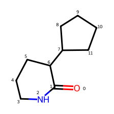 O=C1NCCCC1C1CCCC1